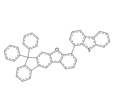 c1ccc(C2(c3ccccc3)c3ccccc3-c3cc4c(cc32)oc2c(-c3cccc5c3sc3ccccc35)cccc24)cc1